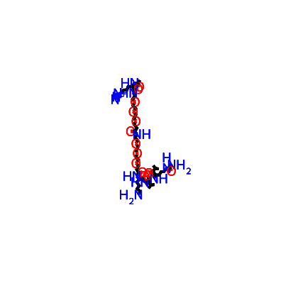 CC(=O)NC(CCCCN=[N+]=[N-])C(=O)NCCOCCOCCOCCC(=O)NCCOCCOCCOCCC(=O)NC(CCCCN)C(=O)NC(C(=O)NC(CCCNC(N)=O)C(=O)C(C)C)C(C)C